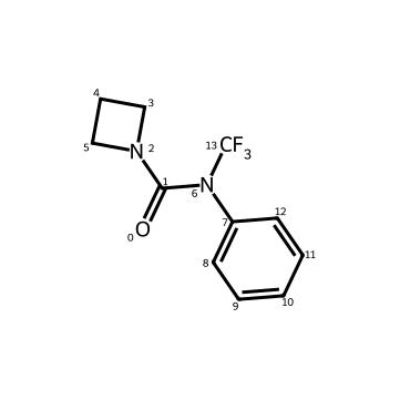 O=C(N1CCC1)N(c1ccccc1)C(F)(F)F